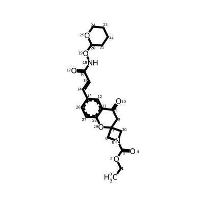 CCOC(=O)N1CC2(CC(=O)c3cc(C=CC(=O)NOC4CCCCO4)ccc3O2)C1